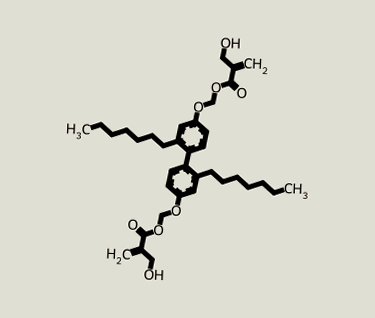 C=C(CO)C(=O)OCOc1ccc(-c2ccc(OCOC(=O)C(=C)CO)cc2CCCCCCC)c(CCCCCCC)c1